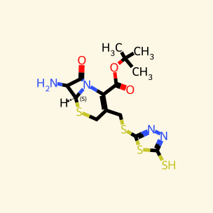 CC(C)(C)OC(=O)C1=C(CSc2nnc(S)s2)CS[C@H]2C(N)C(=O)N12